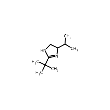 CC(C)C1CNC(C(C)(C)C)=N1